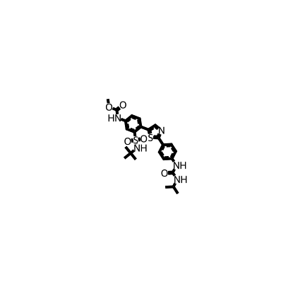 COC(=O)Nc1ccc(-c2cnc(-c3ccc(NC(=O)NC(C)C)cc3)s2)c(S(=O)(=O)NC(C)(C)C)c1